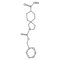 COC(=O)C1CCC2(CC1)CCN(C(=O)OCc1ccccc1)C2